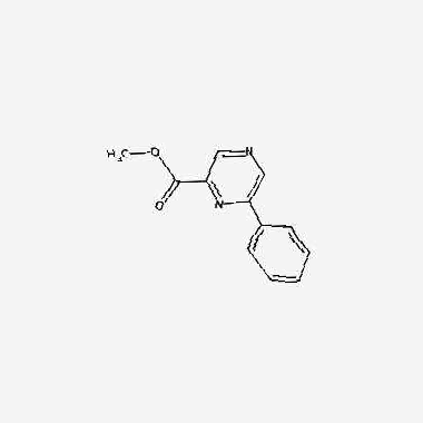 COC(=O)c1cncc(-c2ccccc2)n1